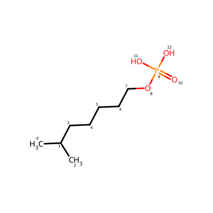 CC(C)CCCCCOP(=O)(O)O